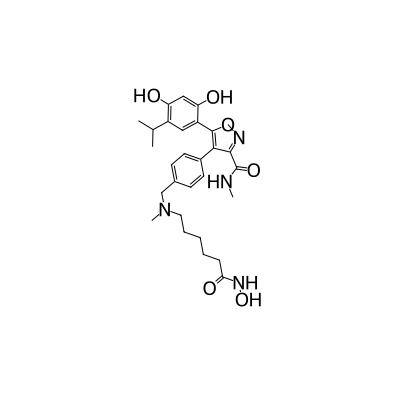 CNC(=O)c1noc(-c2cc(C(C)C)c(O)cc2O)c1-c1ccc(CN(C)CCCCCC(=O)NO)cc1